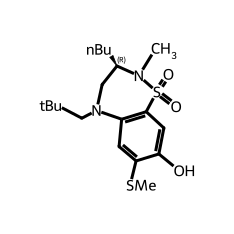 CCCC[C@@H]1CN(CC(C)(C)C)c2cc(SC)c(O)cc2S(=O)(=O)N1C